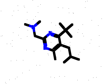 Cc1nc(CN(C)C)nc(C(C)(C)C)c1CC(C)C